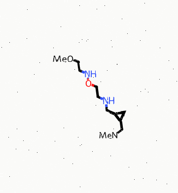 CNCC1CC1CNCCONCCOC